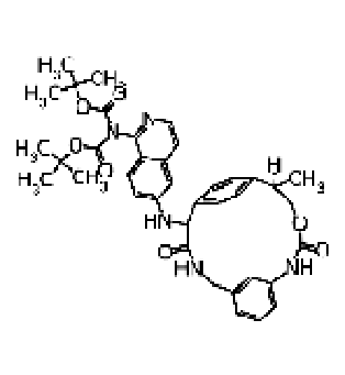 C[C@H]1COC(=O)Nc2cccc(c2)CNC(=O)C(Nc2ccc3c(N(C(=O)OC(C)(C)C)C(=O)OC(C)(C)C)nccc3c2)c2ccc1cc2